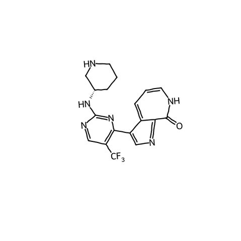 O=c1[nH]cccc2c(-c3nc(N[C@H]4CCCNC4)ncc3C(F)(F)F)cnc1-2